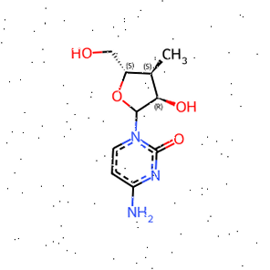 C[C@@H]1[C@@H](CO)OC(n2ccc(N)nc2=O)[C@@H]1O